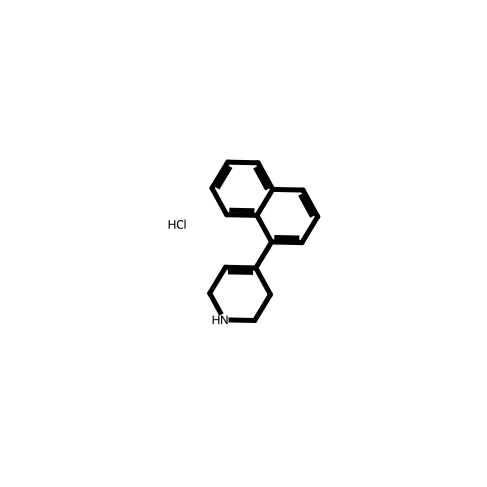 C1=C(c2cccc3ccccc23)CCNC1.Cl